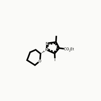 CCOC(=O)c1c(C)nn([C@H]2CCCCO2)c1I